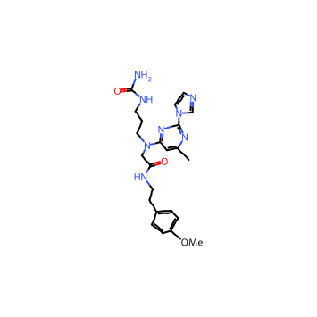 COc1ccc(CCNC(=O)CN(CCCNC(N)=O)c2cc(C)nc(-n3ccnc3)n2)cc1